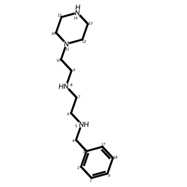 c1ccc(CNCCNCCN2CCNCC2)cc1